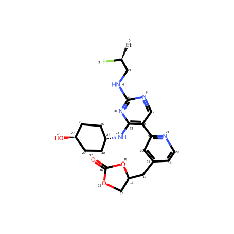 CC[C@H](F)CNc1ncc(-c2cc(CC3COC(=O)O3)ccn2)c(N[C@H]2CC[C@H](O)CC2)n1